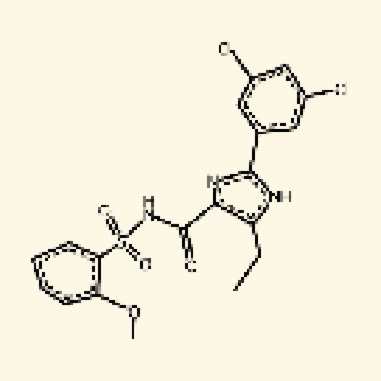 CCc1[nH]c(-c2cc(Cl)cc(Cl)c2)nc1C(=O)NS(=O)(=O)c1ccccc1OC